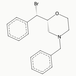 Br[C@@H](c1ccccc1)[C@H]1CN(Cc2ccccc2)CCO1